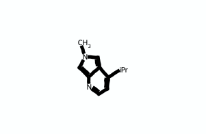 CC(C)c1ccnc2cn(C)cc12